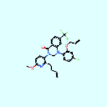 C=CCCc1nc(OC)ccc1N1CN(c2ccc(F)cc2OCC=C)c2cc(C(F)(F)F)ccc2C1=O